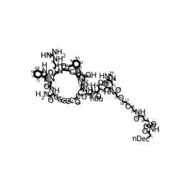 CCCCCCCCCCCC(=O)NS(=O)(=O)CCCC(=O)NCCOCCOCC(=O)N[C@@H](Cc1c[nH]cn1)C(=O)C[C@@H](CO)C(=O)N[C@@H](CCCC)C(=O)N[C@H]1CCC(=O)CCCCC[C@@H](C(N)=O)NC(=O)[C@H](Cc2c[nH]c3ccccc23)NC(=O)[C@H](CCCNC(=N)N)NC(=O)[C@@H](Cc2ccccc2)CC(=O)[C@@H]2C[C@@H](O)CN2C1=O